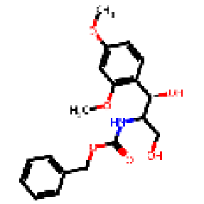 COc1ccc([C@@H](O)C(CO)NC(=O)OCc2ccccc2)c(OC)c1